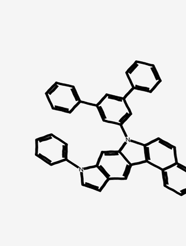 c1ccc(-c2cc(-c3ccccc3)cc(-n3c4cc5c(ccn5-c5ccccc5)cc4c4c5ccccc5ccc43)c2)cc1